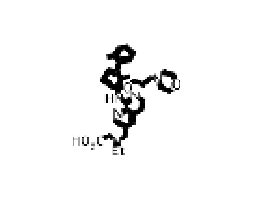 CCN(CC(=O)O)Cc1cnc2c(NC3(OCCCN4CCOCC4)C=CC=C(c4ccccc4C)C3C)nccc2c1